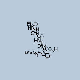 CCC(=O)NCC(=O)NCC(=O)NCC(=O)N(C)C(C)(C(=O)O)n1c(CN(C)NC)cc2ccccc21